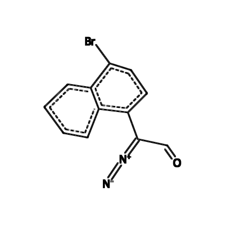 [N-]=[N+]=C(C=O)c1ccc(Br)c2ccccc12